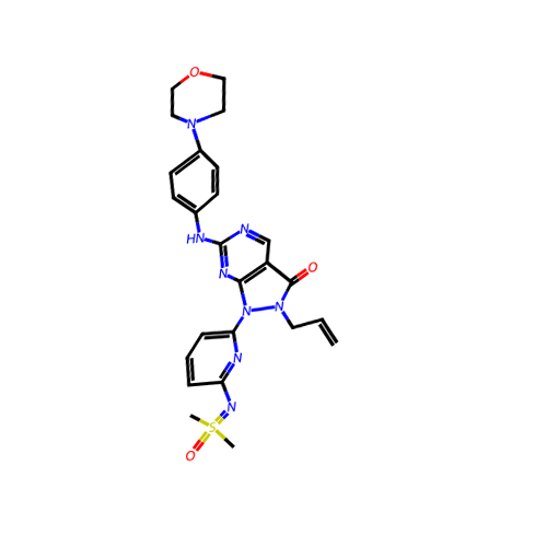 C=CCn1c(=O)c2cnc(Nc3ccc(N4CCOCC4)cc3)nc2n1-c1cccc(N=S(C)(C)=O)n1